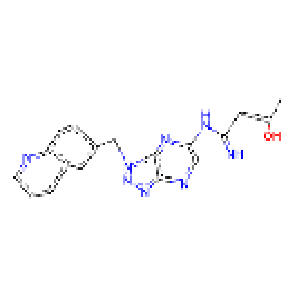 C/C(O)=C/C(=N)Nc1cnc2nnn(Cc3ccc4ncccc4c3)c2n1